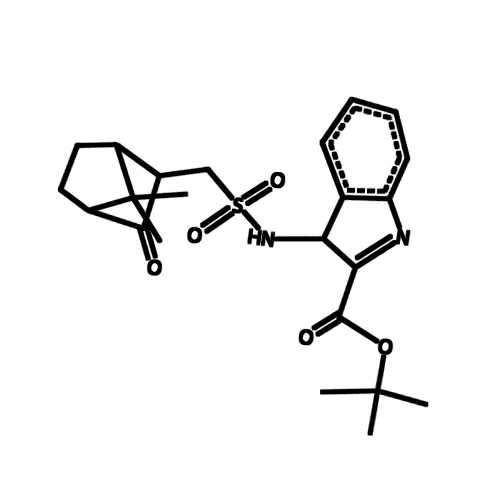 CC(C)(C)OC(=O)C1=Nc2ccccc2C1NS(=O)(=O)CC1C(=O)C2CCC1C2(C)C